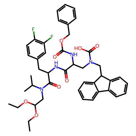 CCOC(CN(C(=O)C(Cc1ccc(F)c(F)c1)NC(=O)C(CN(CC1c2ccccc2-c2ccccc21)C(=O)O)NC(=O)OCc1ccccc1)C(C)C)OCC